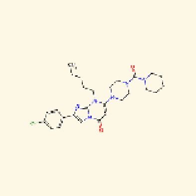 CCCCCn1c(N2CCN(C(=O)N3CCCCC3)CC2)cc(=O)n2cc(-c3ccc(Cl)cc3)nc12